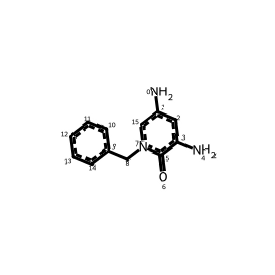 Nc1cc(N)c(=O)n(Cc2ccccc2)c1